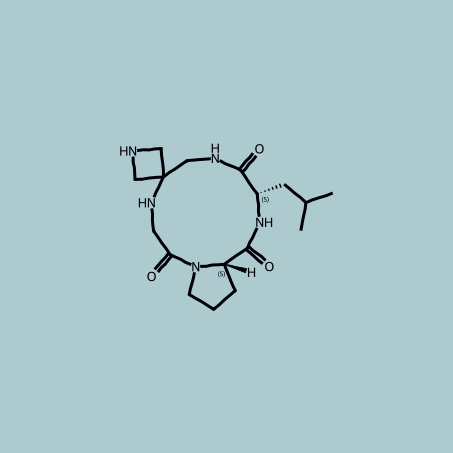 CC(C)C[C@@H]1NC(=O)[C@@H]2CCCN2C(=O)CNC2(CNC2)CNC1=O